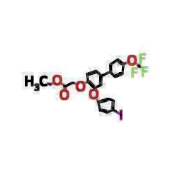 CCOC(=O)COc1ccc(-c2ccc(OC(F)(F)F)cc2)cc1Oc1ccc(I)cc1